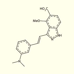 COc1c(C(=O)O)ccc2[nH]nc(/C=C/c3cccc(N(C)C)c3)c12